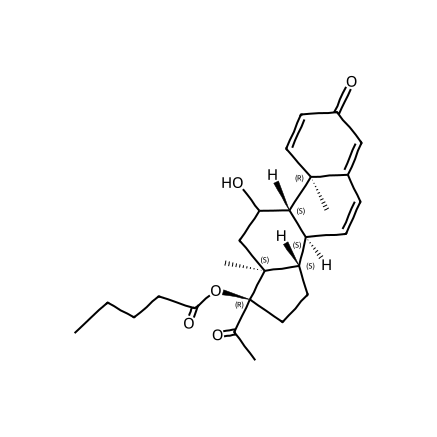 CCCCC(=O)O[C@]1(C(C)=O)CC[C@H]2[C@@H]3C=CC4=CC(=O)C=C[C@]4(C)[C@H]3C(O)C[C@@]21C